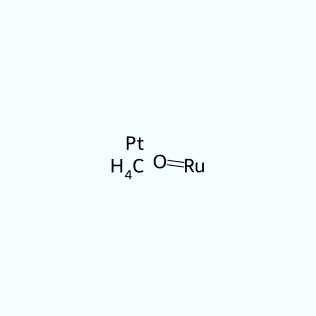 C.[O]=[Ru].[Pt]